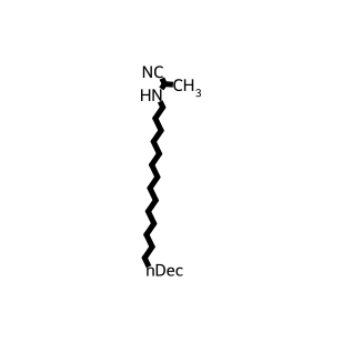 CCCCCCCCCCCCCCCCCCCCCCCCNC(C)C#N